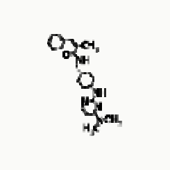 CC(=Cc1ccccc1)C(=O)NC[C@H]1CC[C@@H](Nc2nccc(N(C)C)n2)CC1